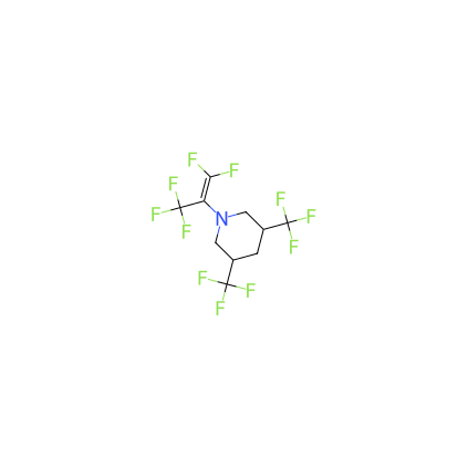 FC(F)=C(N1CC(C(F)(F)F)CC(C(F)(F)F)C1)C(F)(F)F